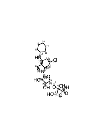 C[C@](CO)(OC[C@H]1O[C@@H](n2ncc3c(NC4CCCCC4)nc(Cl)nc32)[C@H](O)[C@@H]1O)P(=O)(O)O